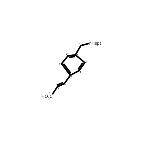 CCCCCCCCc1ccc(/C=C/C(=O)O)cc1